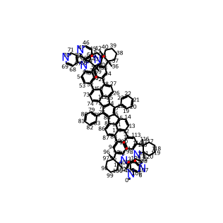 C=N/C=C\C(=C/C)N1c2ccc(-c3ccc4c5c(-c6ccccc6)c6c7ccc(-c8ccc9c(c8)C8(C)CCCCC8(C)N9c8ccncc8)c8c(-c9ccc%10c(c9)C9(C)CCCCC9(C)N%10c9ccncc9)ccc(c6c(-c6ccccc6)c5c5ccc(-c6ccc9c(c6)C6(C)CCCCC6(C)N9c6ccncc6)c3c45)c87)cc2C2(C)CCCCC12C